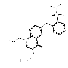 CN(C)S(=O)(=O)c1ccccc1Cc1ccc2c(c1)c(=O)c(OC(=O)O)cn2CCO